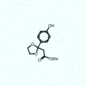 COC(=O)CC1(c2ccc(O)cc2)OCCO1